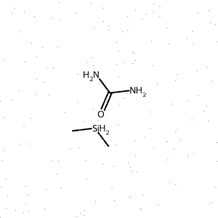 C[SiH2]C.NC(N)=O